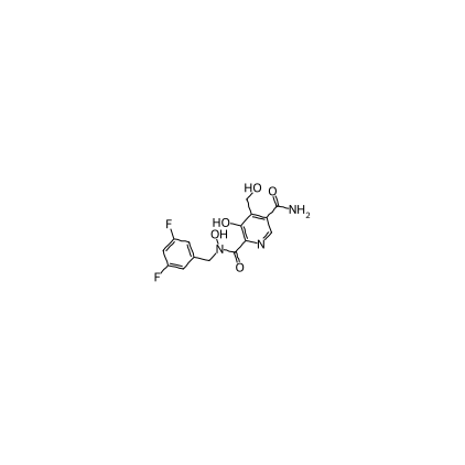 NC(=O)c1cnc(C(=O)N(O)Cc2cc(F)cc(F)c2)c(O)c1CO